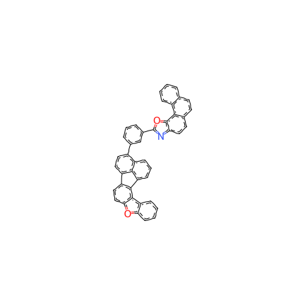 c1cc(-c2nc3ccc4ccc5ccccc5c4c3o2)cc(-c2ccc3c4c(cccc24)-c2c-3ccc3oc4ccccc4c23)c1